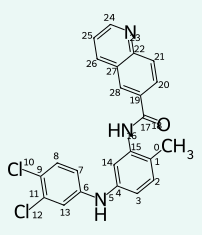 Cc1ccc(Nc2ccc(Cl)c(Cl)c2)cc1NC(=O)c1ccc2ncccc2c1